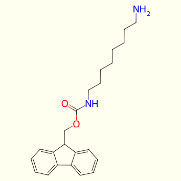 NCCCCCCCCNC(=O)OCC1c2ccccc2-c2ccccc21